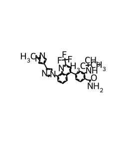 Cn1cc(-c2cn(-c3cccc4c(-c5ccc(C(N)=O)c(NC(C)(C)C)c5)cc(C(F)(F)F)nc34)cn2)cn1